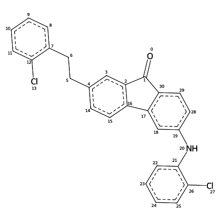 O=C1c2cc(CCc3ccccc3Cl)ccc2-c2cc(Nc3ccccc3Cl)ccc21